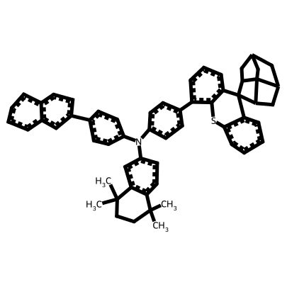 CC1(C)CCC(C)(C)c2cc(N(c3ccc(-c4ccc5ccccc5c4)cc3)c3ccc(-c4cccc5c4Sc4ccccc4C54C5CC6CC7CC4C75C6)cc3)ccc21